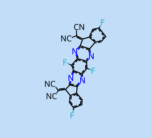 N#CC(C#N)=C1c2cc(F)ccc2-c2nc3c(F)c4nc5c(nc4c(F)c3nc21)C(=C(C#N)C#N)c1cc(F)ccc1-5